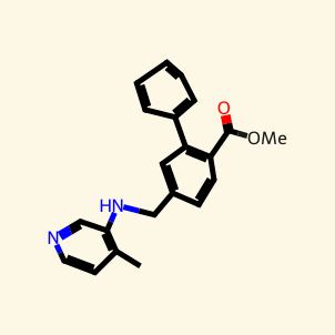 COC(=O)c1ccc(CNc2cnccc2C)cc1-c1ccccc1